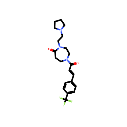 O=C(/C=C/c1ccc(C(F)(F)F)cc1)N1CCC(=O)N(CCN2CCCC2)CC1